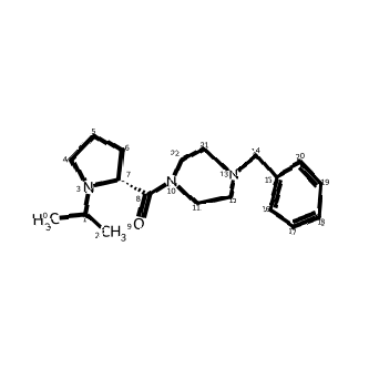 CC(C)N1CCC[C@@H]1C(=O)N1CCN(Cc2ccccc2)CC1